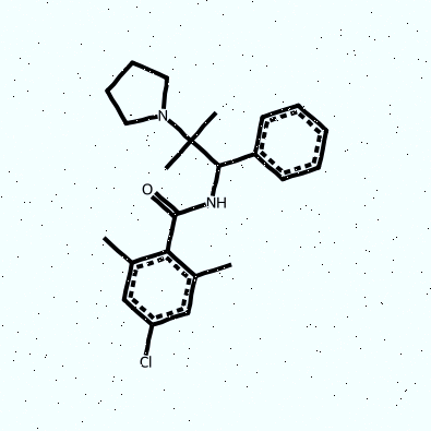 Cc1cc(Cl)cc(C)c1C(=O)NC(c1ccccc1)C(C)(C)N1CCCC1